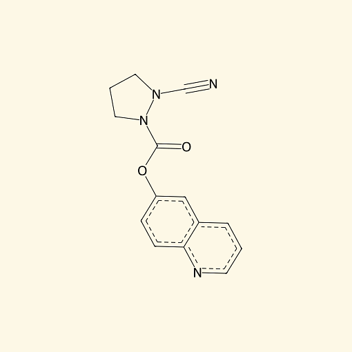 N#CN1CCCN1C(=O)Oc1ccc2ncccc2c1